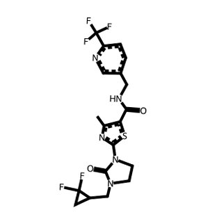 Cc1nc(N2CCN(CC3CC3(F)F)C2=O)sc1C(=O)NCc1ccc(C(F)(F)F)nc1